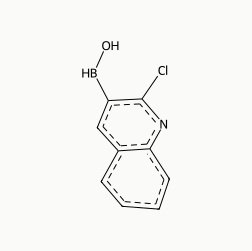 OBc1cc2ccccc2nc1Cl